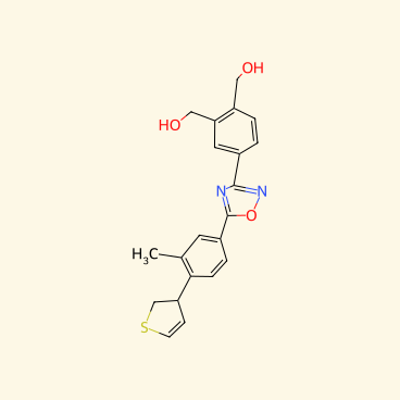 Cc1cc(-c2nc(-c3ccc(CO)c(CO)c3)no2)ccc1C1C=CSC1